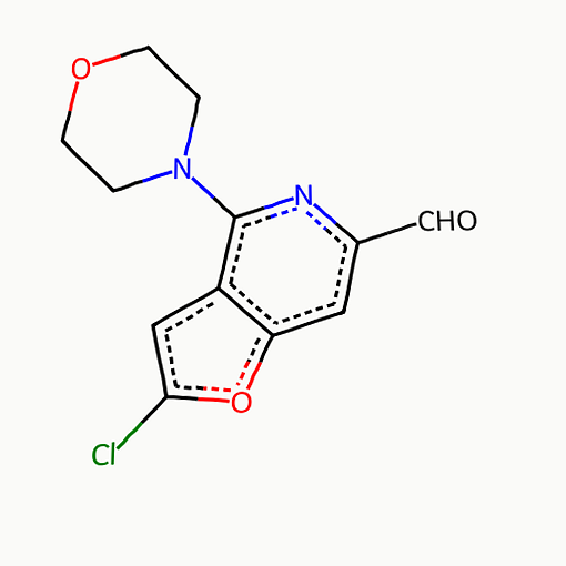 O=Cc1cc2oc(Cl)cc2c(N2CCOCC2)n1